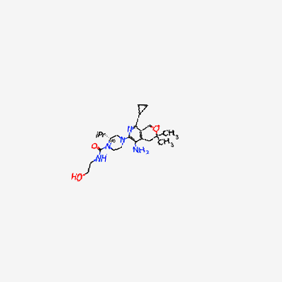 CC(C)[C@@H]1CN(c2nc(C3CC3)c3c(c2N)CC(C)(C)OC3)CCN1C(=O)NCCO